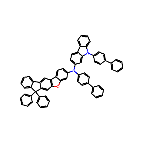 c1ccc(-c2ccc(N(c3ccc4c(c3)oc3cc5c(cc34)-c3ccccc3C5(c3ccccc3)c3ccccc3)c3ccc4c5ccccc5n(-c5ccc(-c6ccccc6)cc5)c4c3)cc2)cc1